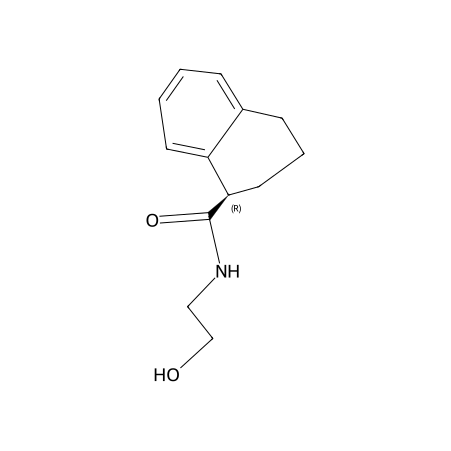 O=C(NCCO)[C@@H]1CCCc2ccccc21